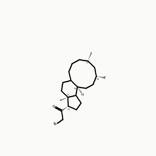 C[C@H]1CCCC2CC[C@@]3(C)C(CC[C@@H]3C(=O)CBr)[C@@H]2CC[C@@H](F)C1